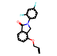 C=CCOc1cccc2c1CN(c1ccc(F)cc1F)C2=O